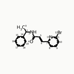 CC(NC(=O)C=Cc1cccc(Br)n1)c1ccccc1